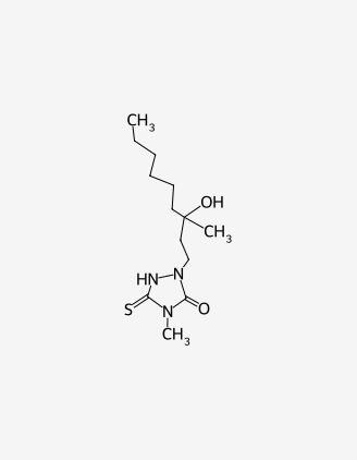 CCCCCCC(C)(O)CCn1[nH]c(=S)n(C)c1=O